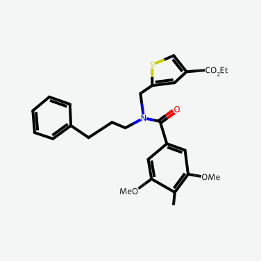 CCOC(=O)c1csc(CN(CCCc2ccccc2)C(=O)c2cc(OC)c(C)c(OC)c2)c1